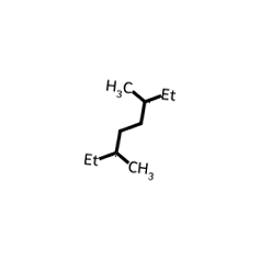 CC[C](C)CC[C](C)CC